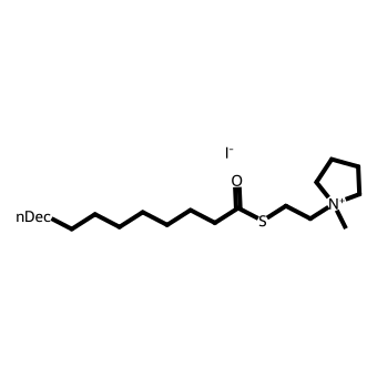 CCCCCCCCCCCCCCCCCC(=O)SCC[N+]1(C)CCCC1.[I-]